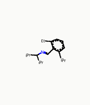 CCc1cccc(C(C)C)c1/C=N/C(C(C)C)C(C)C